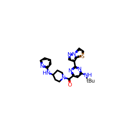 CC(C)(C)Nc1cc(C(=O)N2CCC(Nc3ccccn3)CC2)nc(-c2cnn3ccsc23)n1